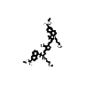 CCOC(=O)c1ccc2c(C(C)(C)C(/C=C/C3=C(Cl)C(=C/C=C4/N(CCCOC)c5ccc6cc(C(=O)OCC)ccc6c5C4(C)C)/CC3)=N/CCCOC)cccc2c1